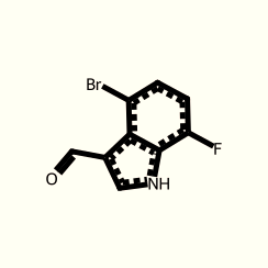 O=Cc1c[nH]c2c(F)ccc(Br)c12